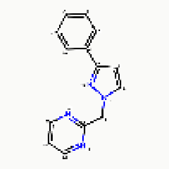 c1ccc(-c2ccn(Cc3ncccn3)n2)cc1